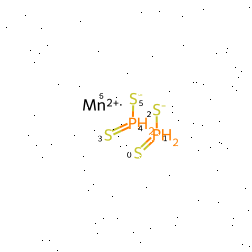 S=[PH2][S-].S=[PH2][S-].[Mn+2]